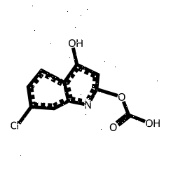 O=C(O)Oc1cc(O)c2ccc(Cl)cc2n1